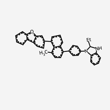 CCC1Nc2ccccc2N1c1ccc(-c2ccc(C)c3c(-c4ccc5c(c4)oc4ccccc45)cccc23)cc1